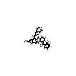 CCC[C@@H]1[C@H](C(=O)N2CCc3sc(Cl)cc3C2CCCN2CCOCC2)CCCN1C(=O)c1ncccc1C(F)(F)F